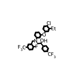 CCc1cc(Oc2cccc(N(Cc3cc(C(F)(F)F)ccc3F)CC(O)c3ccc(C(F)(F)F)cc3)c2)ccc1Cl